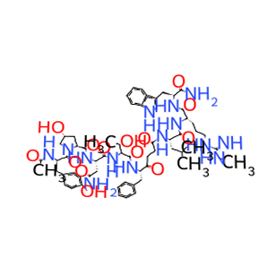 CNC(=N)NCCC[C@H](NC(=O)[C@H](CC(C)C)NC(=O)CCC(=O)[C@H](Cc1ccccc1)NC(=O)[C@@H](NC(=O)[C@H](CC(N)=O)NC(=O)[C@@H]1C[C@@H](O)CN1C(=O)[C@@H](Cc1ccc(O)cc1)NC(C)=O)[C@@H](C)O)C(=O)N[C@@H](Cc1c[nH]c2ccccc12)C(N)=O